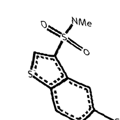 CNS(=O)(=O)c1csc2ccc(F)cc12